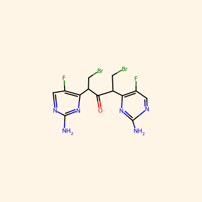 Nc1ncc(F)c(C(CBr)C(=O)C(CBr)c2nc(N)ncc2F)n1